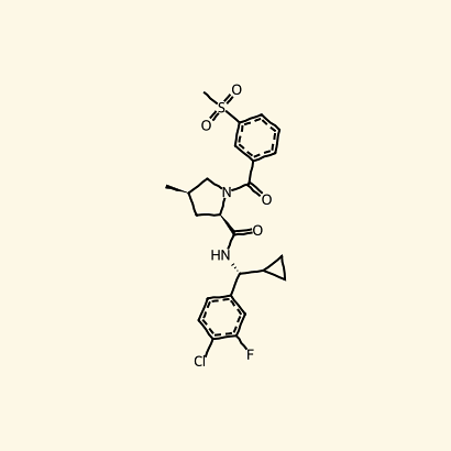 C[C@@H]1C[C@H](C(=O)N[C@@H](c2ccc(Cl)c(F)c2)C2CC2)N(C(=O)c2cccc(S(C)(=O)=O)c2)C1